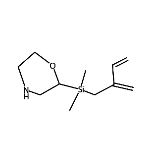 C=CC(=C)C[Si](C)(C)C1CNCCO1